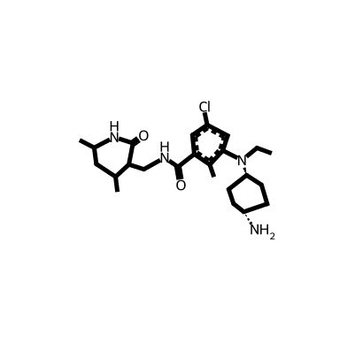 CCN(c1cc(Cl)cc(C(=O)NCC2C(=O)NC(C)CC2C)c1C)[C@H]1CC[C@@H](N)CC1